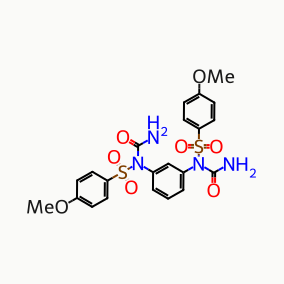 COc1ccc(S(=O)(=O)N(C(N)=O)c2cccc(N(C(N)=O)S(=O)(=O)c3ccc(OC)cc3)c2)cc1